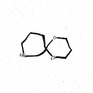 C1COC2(CCCNC2)OC1